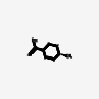 C[C@@H]1C=CC(C(=O)O)CC1